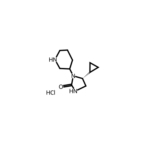 Cl.O=C1NC[C@@H](C2CC2)N1C1CCCNC1